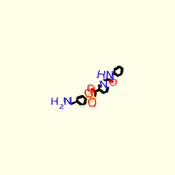 NCc1ccc(S(=O)(=O)CC(=O)C2=CC=CN(CC(=O)Nc3ccccc3)C2)cc1